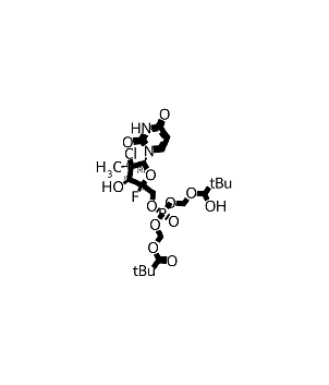 CC(C)(C)C(=O)OCOP(=O)(OCOC(O)C(C)(C)C)OC[C@@]1(F)O[C@@H](n2ccc(=O)[nH]c2=O)[C@](C)(Cl)[C@@H]1O